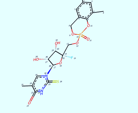 Cc1cc(C)c2c(c1)COP(=O)(OC[C@@]1(F)O[C@@H](n3cc(C)c(=O)[nH]c3=S)[C@H](O)[C@@H]1O)O2